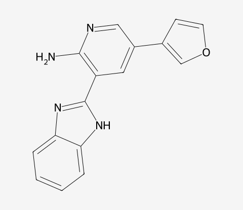 Nc1ncc(-c2ccoc2)cc1-c1nc2ccccc2[nH]1